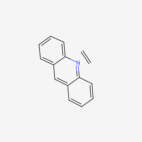 C=C.c1ccc2nc3ccccc3cc2c1